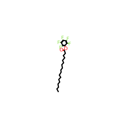 CCCCCCCCCCCCCCCCCC(=O)Oc1c(F)c(F)c(F)c(F)c1F